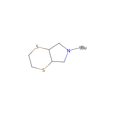 CC(C)(C)N1CC2SCCSC2C1